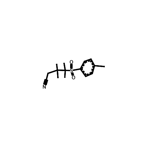 Cc1ccc(S(=O)(=O)C(C)(C)C(C)(C)CC#N)cc1